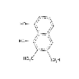 O=C(O)c1c(S(=O)(=O)O)[c]c2cccc(O)c2c1O